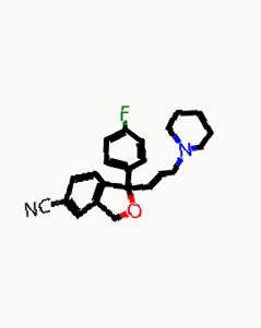 N#Cc1ccc2c(c1)COC2(CCCN1CCCCC1)c1ccc(F)cc1